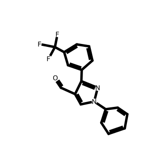 O=Cc1cn(-c2ccccc2)nc1-c1cccc(C(F)(F)F)c1